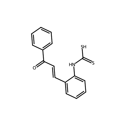 O=C(C=Cc1ccccc1NC(=S)S)c1ccccc1